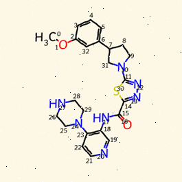 COc1cccc(C2CCN(c3nnc(C(=O)Nc4cnccc4N4CCNCC4)s3)C2)c1